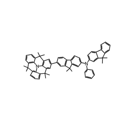 CC1(C)c2ccccc2-c2ccc(N(c3ccccc3)c3ccc4c(c3)C(C)(C)c3cc(-c5cc6c7c(c5)C(C)(C)c5cccc8c5N7c5c(cccc5C6(C)C)C8(C)C)ccc3-4)cc21